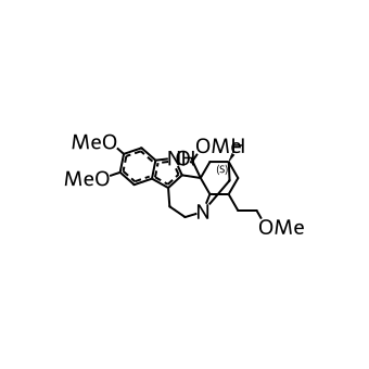 COCCC1C[C@@H]2CN3CCc4c([nH]c5cc(OC)c(OC)cc45)C(C(=O)OC)(C2)C13